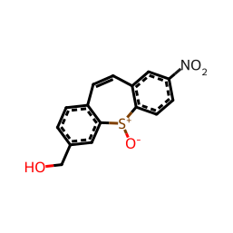 O=[N+]([O-])c1ccc2c(c1)C=Cc1ccc(CO)cc1[S+]2[O-]